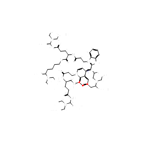 O=C(O)CN(CC(=O)O)C(CCCCNC(=O)C(CCC(=O)NC(C(=O)O)N(CC(=O)O)CC(=O)O)NC(=O)CC[n+]1c(/C=C2\C=CN(CCC(=O)NC(CCC(=O)NC(C(=O)O)N(CC(=O)O)CC(=O)O)C(=O)NCCCCC(C(=O)O)N(CC(=O)O)CC(O)O)c3ccccc32)sc2ccccc21)C(=O)O